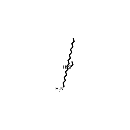 CCCCCCCCCCCCCCCCCCN.CC[SiH3]